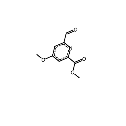 COC(=O)c1cc(OC)cc(C=O)n1